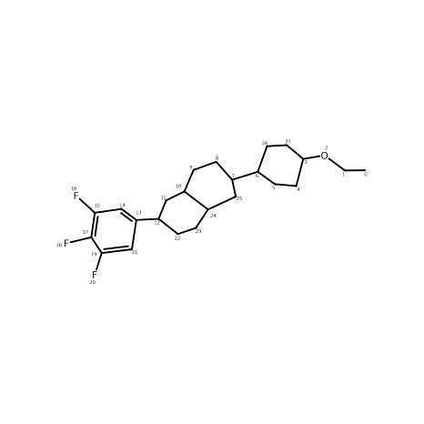 CCOC1CCC(C2CCC3CC(c4cc(F)c(F)c(F)c4)CCC3C2)CC1